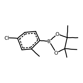 Cc1cc(Cl)ccc1B1OC(C)(C)C(C)(C)O1